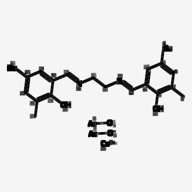 CC(=O)[O-].CC(=O)[O-].CCC(C)c1cc(C)c(O)c(C=NCCN=Cc2cc(C(C)CC)cc(C)c2O)c1.[Co+2]